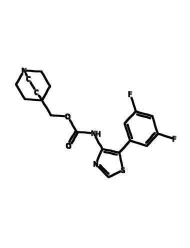 O=C(Nc1ncsc1-c1cc(F)cc(F)c1)OCC12CCN(CC1)CC2